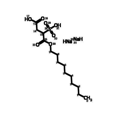 CCCCCCCCCCOC(=O)C(CC(=O)O)S(=O)(=O)O.[NaH].[NaH]